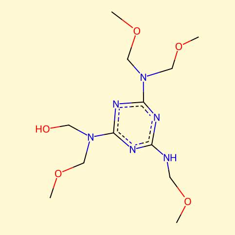 COCNc1nc(N(CO)COC)nc(N(COC)COC)n1